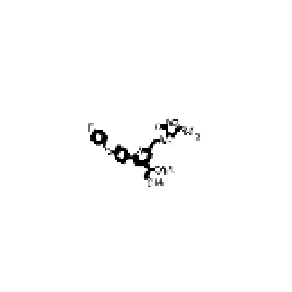 NC(=O)CC(NCc1cc(C(O)CO)cc(-c2ccc(Oc3ccc(F)cc3)cc2)n1)C(N)=O